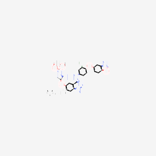 COc1cc2ncnc(Nc3ccc(Oc4ccc5ocnc5c4)c(Cl)c3)c2cc1OC1CN(C(=O)OC(C)(C)C)C1